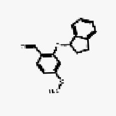 COc1ccc(C=O)c(OC2CCc3ccccc32)c1